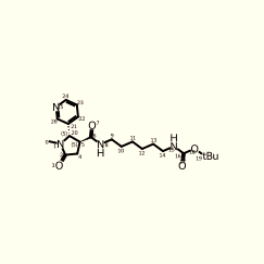 CN1C(=O)C[C@H](C(=O)NCCCCCCNC(=O)OC(C)(C)C)[C@H]1c1cccnc1